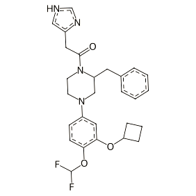 O=C(Cc1c[nH]cn1)N1CCN(c2ccc(OC(F)F)c(OC3CCC3)c2)CC1Cc1ccccc1